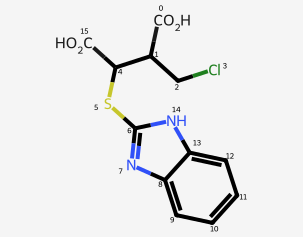 O=C(O)C(CCl)C(Sc1nc2ccccc2[nH]1)C(=O)O